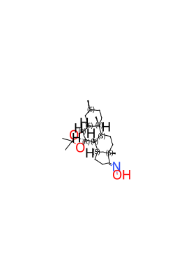 C[C@H]1CC[C@@]2(C)[C@H](C1)[C@H]1OC(C)(C)O[C@@H]1[C@@H]1[C@@H]2CC[C@]2(C)C(=NO)CC[C@@H]12